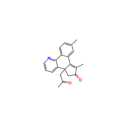 CC(=O)CC12CC(=O)C(C)=C1c1cc(C)ccc1-c1ncccc12